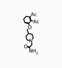 CC(=O)C1=C(C(C)=O)C(OCC2CCN(CC(N)=O)CC2)=CCC1